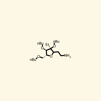 CCCCOC[C@H]1OC(CCN)[C@](CC)(OCCCC)[C@@H]1OCCCC